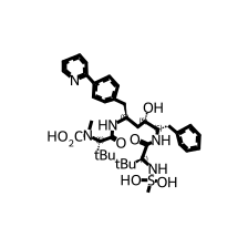 CN(C(=O)O)[C@H](C(=O)N[C@@H](Cc1ccc(-c2ccccn2)cc1)C[C@H](O)[C@H](Cc1ccccc1)NC(=O)[C@@H](NS(C)(O)O)C(C)(C)C)C(C)(C)C